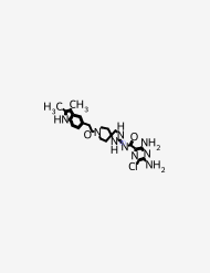 Cc1[nH]c2ccc(CC(=O)N3CCC4(CC3)CN/C(=N\C(=O)c3nc(Cl)c(N)nc3N)N4)cc2c1C